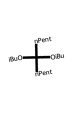 CCCCCC(CCCCC)(OCC(C)C)OCC(C)C